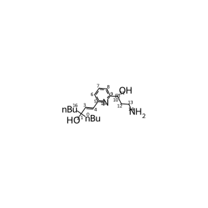 CCCCC(O)(C=Cc1cccc([C@H](O)CCN)n1)CCCC